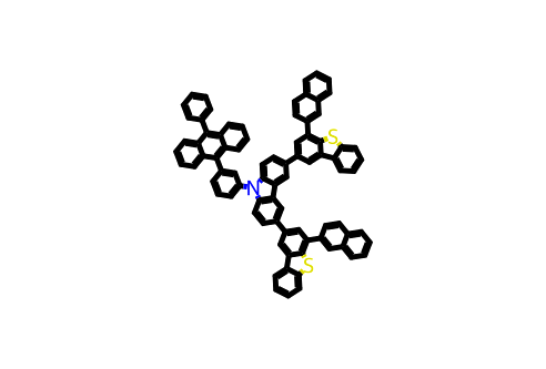 c1ccc(-c2c3ccccc3c(-c3cccc(-n4c5ccc(-c6cc(-c7ccc8ccccc8c7)c7sc8ccccc8c7c6)cc5c5cc(-c6cc(-c7ccc8ccccc8c7)c7sc8ccccc8c7c6)ccc54)c3)c3ccccc23)cc1